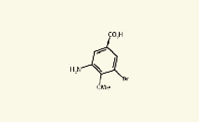 COc1c(N)cc(C(=O)O)cc1Br